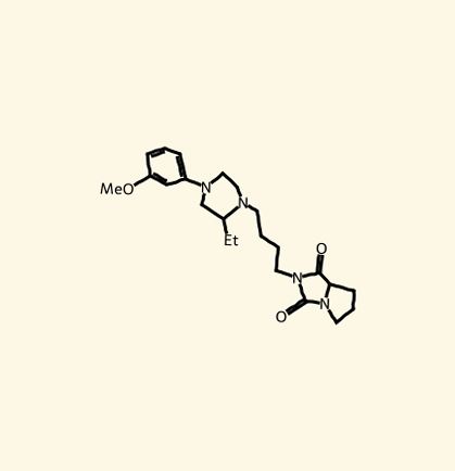 CCC1CN(c2cccc(OC)c2)CCN1CCCCN1C(=O)C2CCCN2C1=O